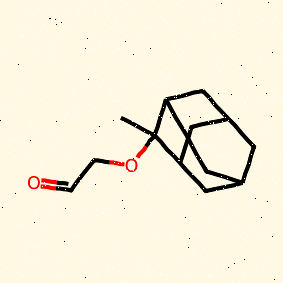 CC1(OCC=O)C2CC3CC(C2)CC1C3